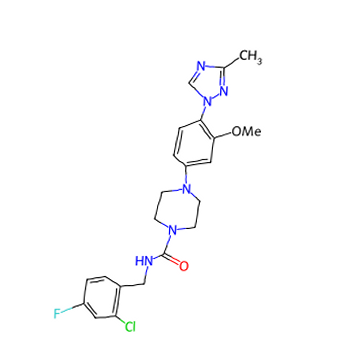 COc1cc(N2CCN(C(=O)NCc3ccc(F)cc3Cl)CC2)ccc1-n1cnc(C)n1